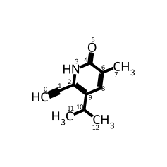 C#Cc1[nH]c(=O)c(C)cc1C(C)C